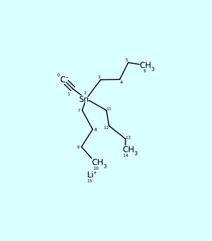 [C-]#[C][Sn]([CH2]CCC)([CH2]CCC)[CH2]CCC.[Li+]